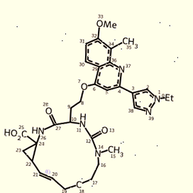 CCn1cc(-c2cc(OCCC3NC(=O)N(C)CCCC/C=C/C4CC4(C(=O)O)NC3=O)c3ccc(OC)c(C)c3n2)cn1